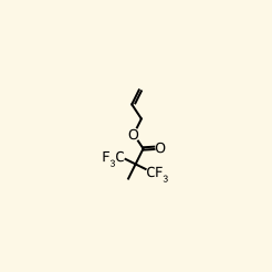 C=CCOC(=O)C(C)(C(F)(F)F)C(F)(F)F